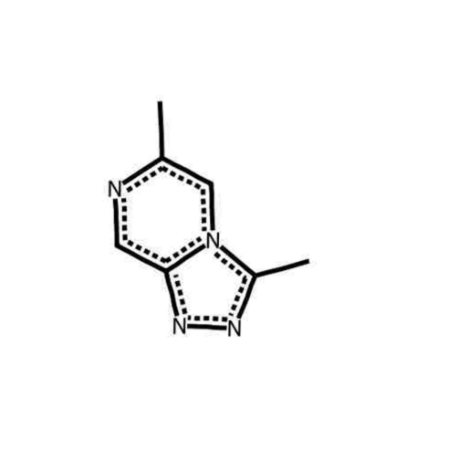 Cc1cn2c(C)nnc2cn1